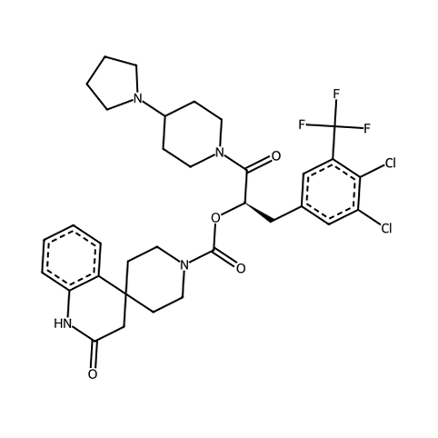 O=C1CC2(CCN(C(=O)O[C@H](Cc3cc(Cl)c(Cl)c(C(F)(F)F)c3)C(=O)N3CCC(N4CCCC4)CC3)CC2)c2ccccc2N1